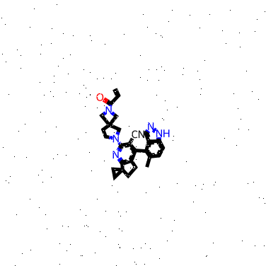 C=CC(=O)N1CC2(CCN(c3nc4c(c(-c5c(C)ccc6[nH]ncc56)c3C#N)CCC43CC3)C2)C1